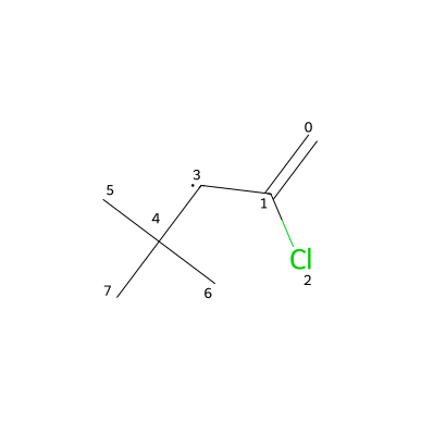 C=C(Cl)[CH]C(C)(C)C